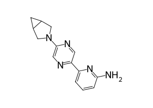 Nc1cccc(-c2cnc(N3CC4CC4C3)cn2)n1